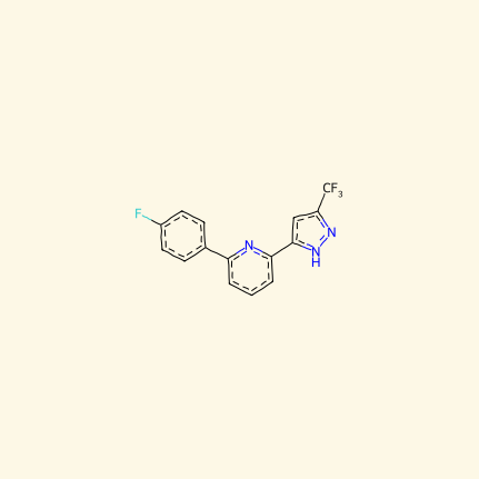 Fc1ccc(-c2cccc(-c3cc(C(F)(F)F)n[nH]3)n2)cc1